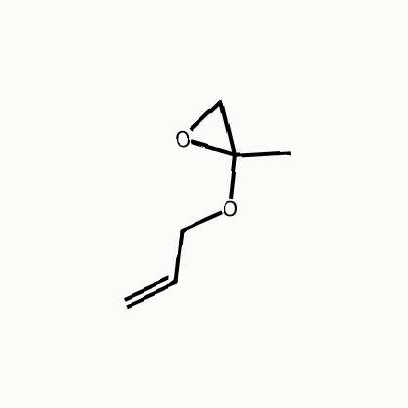 C=CCOC1(C)CO1